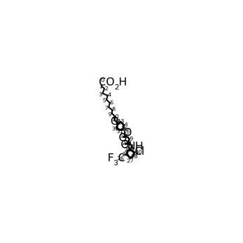 O=C(O)CCCCCCCCCCOc1ccc(OC(=O)CC(=O)Nc2cc(C(F)(F)F)ccc2Cl)cc1